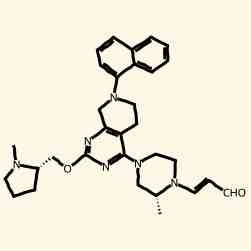 C[C@@H]1CN(c2nc(OC[C@@H]3CCCN3C)nc3c2CCN(c2cccc4ccccc24)C3)CCN1C=CC=O